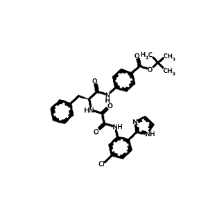 CC(C)(C)OC(=O)c1ccc(NC(=O)[C@H](Cc2ccccc2)NC(=O)C(=O)Nc2cc(Cl)ccc2-c2ncc[nH]2)cc1